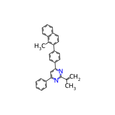 C=C(C)c1nc(-c2ccccc2)cc(-c2ccc(-c3ccc4ccccc4c3C)cc2)n1